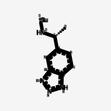 C[C@@H](NC(C)(C)C)c1ccc2[nH]nnc2c1